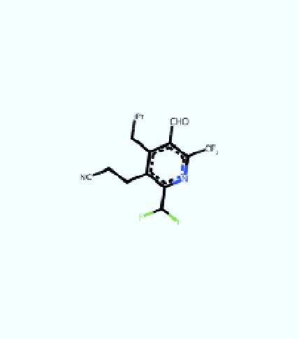 CC(C)Cc1c(C=O)c(C(F)(F)F)nc(C(F)F)c1CCC#N